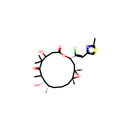 Cc1nc(C=C(Cl)[C@@H]2C[C@@H]3O[C@]3(C)CCC[C@H](C)[C@H](O)C(C)C(=O)C(C)(C)C(O)CC(=O)O2)cs1